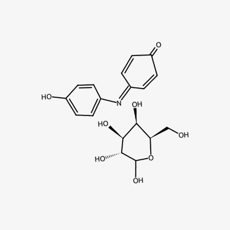 O=C1C=CC(=Nc2ccc(O)cc2)C=C1.OC[C@H]1OC(O)[C@H](O)[C@@H](O)[C@H]1O